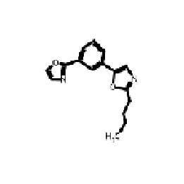 CCCCc1n[c]c(-c2cccc(-c3ncco3)c2)o1